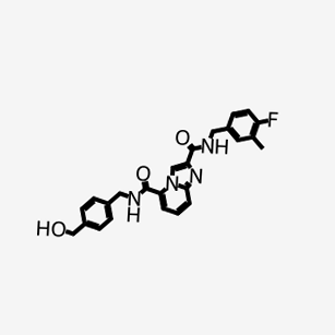 Cc1cc(CNC(=O)c2cn3c(C(=O)NCc4ccc(CO)cc4)cccc3n2)ccc1F